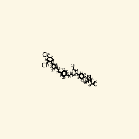 C=C(C)C(C)N1C=NN(c2ccc(N(CCC)CCCc3ccc(CC[C@@H]4CCC(C5=CCC(Cl)C=C5Cl)C4)cc3)cc2)C1=C